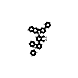 c1ccc(-c2ccc3c(c2)c2cc4ccccc4cc2n3-c2ccc(-c3cccc4c3c3ccccc3n4-c3ccccc3)c3cnncc23)cc1